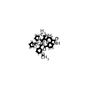 COc1cccc([C@@H](C)NC(=O)c2ccc3c(c2)C(=Cc2[nH]c(C)c(C(=O)N4CCC[C@H]4CN4CCCC4)c2C)C(=O)N3)c1